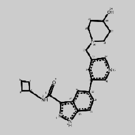 O=C(NC1CCC1)c1n[nH]c2ccc(-c3cncc(CN4CCC(O)CC4)c3)cc12